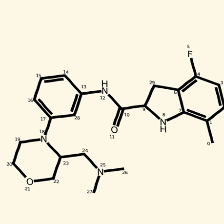 Cc1ccc(F)c2c1NC(C(=O)Nc1cccc(N3CCOCC3CN(C)C)c1)C2